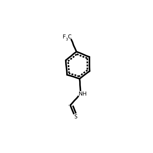 FC(F)(F)c1ccc(N[C]=S)cc1